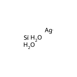 O.O.[Ag].[Si]